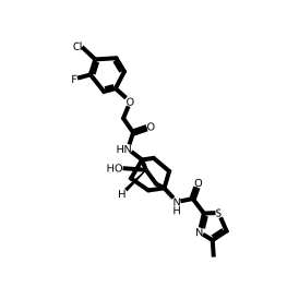 Cc1csc(C(=O)NC23CCC(NC(=O)COc4ccc(Cl)c(F)c4)(CC2)[C@@H](O)C3)n1